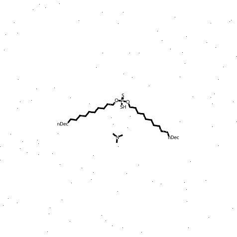 CCCCCCCCCCCCCCCCCCCCOP(=S)(S)OCCCCCCCCCCCCCCCCCCCC.CN(C)C